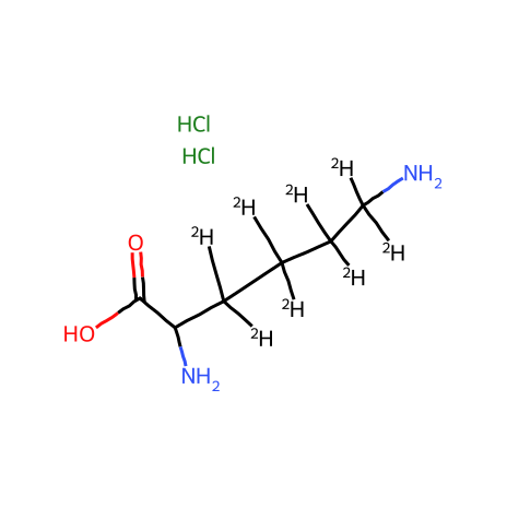 Cl.Cl.[2H]C([2H])(N)C([2H])([2H])C([2H])([2H])C([2H])([2H])C(N)C(=O)O